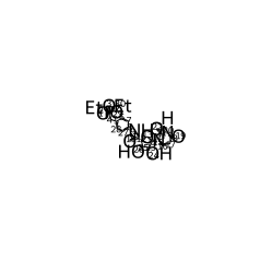 CCOP(=O)(Cc1ccc(NC(=O)[C@H]2OC(n3ccc(=O)[nH]c3=O)[C@H](O)[C@@H]2O)cc1)OCC